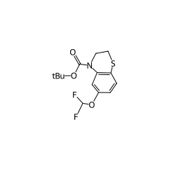 CC(C)(C)OC(=O)N1CCSc2ccc(OC(F)F)cc21